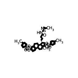 Cc1ccc(S(=O)(=O)Oc2ccc3c(c2)CCC2C3CC[C@@]3(C)C2[C@H](CCCC(=O)Nc2ncc(C)s2)C[C@@H]3OS(=O)(=O)c2ccc(C)cc2)cc1